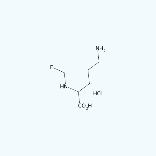 Cl.NC[CH][CH]C(NCF)C(=O)O